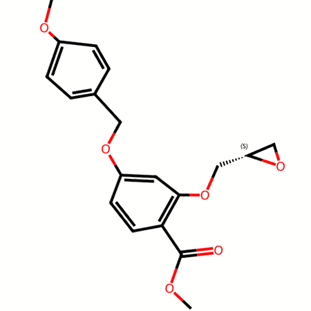 COC(=O)c1ccc(OCc2ccc(OC)cc2)cc1OC[C@@H]1CO1